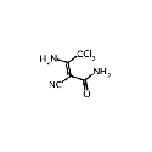 N#CC(C(N)=O)=C(N)C(Cl)(Cl)Cl